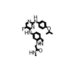 CNC(=O)Cn1ncc2ccc(Nc3nc(Nc4ccc(OC(C)C)cc4)ncc3F)cc21